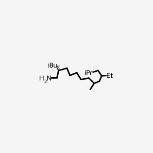 CCC(CC(C)C)CC(C)CCCCCC(CN)[C@H](C)CC